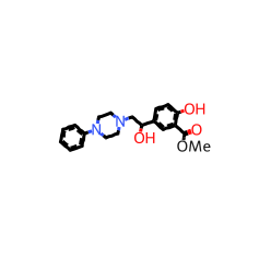 COC(=O)c1cc(C(O)CN2CCN(c3ccccc3)CC2)ccc1O